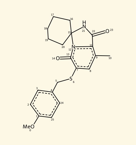 COc1ccc(CSc2cc(C)c3n(c2=O)C2(CCCCC2)NC3=O)cc1